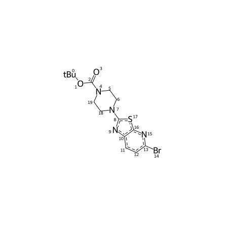 CC(C)(C)OC(=O)N1CCN(c2nc3ccc(Br)nc3s2)CC1